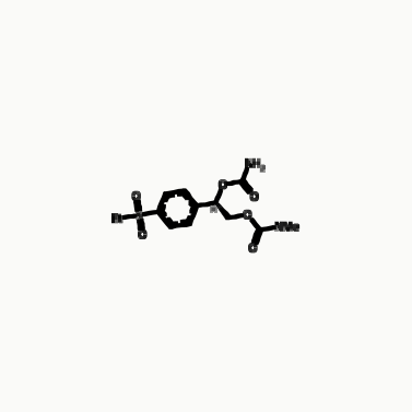 CCS(=O)(=O)c1ccc([C@H](COC(=O)NC)OC(N)=O)cc1